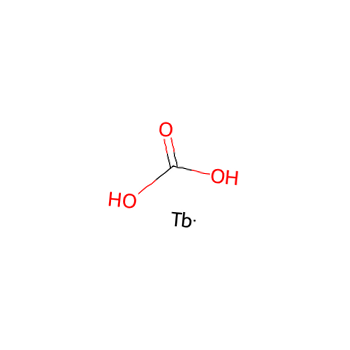 O=C(O)O.[Tb]